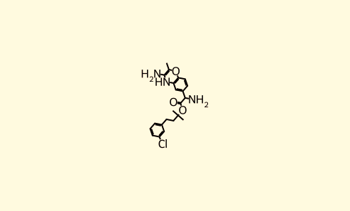 CC1=C(N)Nc2cc(C(N)C(=O)OC(C)(C)CCc3cccc(Cl)c3)ccc2O1